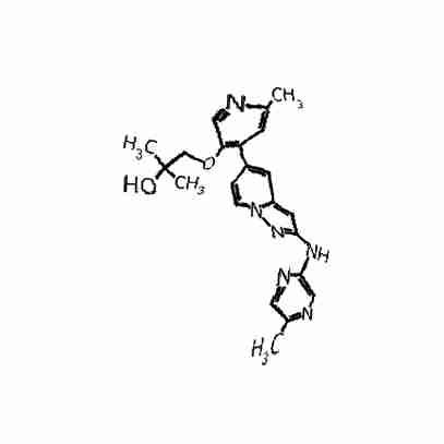 Cc1cnc(Nc2cc3cc(-c4cc(C)ncc4OCC(C)(C)O)ccn3n2)cn1